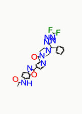 CC(=O)Nc1ccc2nc(-c3ccnc(C(=O)N4CCN(C(c5ccccc5)c5nnn(C(F)F)n5)CC4)c3)oc2c1